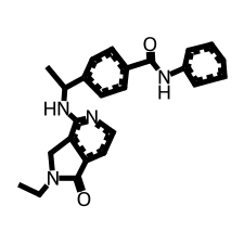 CCN1Cc2c(ccnc2NC(C)c2ccc(C(=O)Nc3ccccc3)cc2)C1=O